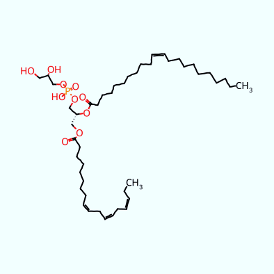 CC/C=C\C/C=C\C/C=C\CCCCCCCC(=O)OC[C@H](COP(=O)(O)OC[C@@H](O)CO)OC(=O)CCCCCCCCC/C=C\CCCCCCCCCC